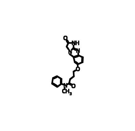 CN(C(=O)CCCOc1ccc2c(c1)CN1CC(=O)NC1=N2)c1ccccc1